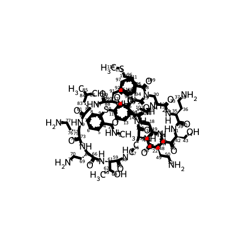 CNC(=O)c1ccccc1Sc1ccc(C(=N)/C=C/c2ccccn2)c(NC(=O)N(CCC(=O)N[C@@H](CCN)C(=O)N[C@@H](CO)C(=O)N[C@@H](CCN)C(=O)N[C@H]2CCNC(=O)[C@H]([C@@H](C)O)NC(=O)[C@H](CCN)NC(=O)[C@H](CCN)NC(=O)[C@H](CC(C)C)NC(=O)[C@@H](Cc3ccccc3)NC(=O)[C@H](CCN)NC2=O)C(=O)[C@H](CCSC)NC=O)c1